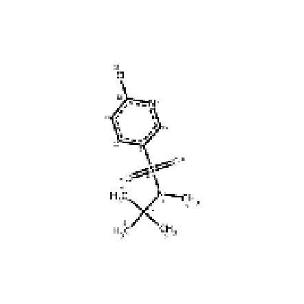 CN(C(C)(C)C)S(=O)(=O)c1ccc(Cl)nc1